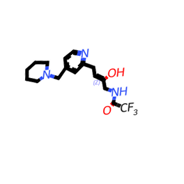 O=C(NC/C(O)=C/Cc1cc(CN2CCCCC2)ccn1)C(F)(F)F